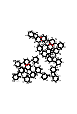 c1ccc(-c2ccc(-c3ccccc3N(c3ccc(-c4cccc(-n5c6ccccc6c6cc(-c7cccc8c7c7cccc9c7n8-c7ccccc7C97c8ccccc8-c8c(N(c9ccccc9-c9ccc(-c%10ccccc%10)cc9)c9ccccc9-c9ccc%10oc%11ccccc%11c%10c9)cccc87)ccc65)c4)cc3)c3cccc4c3-c3ccccc3C43c4ccccc4-n4c5ccccc5c5cccc3c54)cc2)cc1